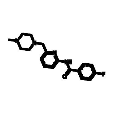 CN1CCN(Cc2cccc(NC(=O)c3ccc(F)cc3)n2)CC1